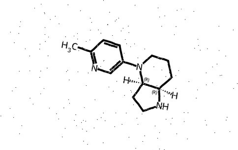 Cc1ccc(N2CCC[C@H]3NCC[C@H]32)cn1